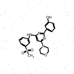 CS(=O)(=O)c1cccc(Nc2cc(N3CCOCC3)nc(-c3cccc(O)c3)n2)c1